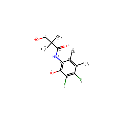 Cc1c(Br)c(F)c(O)c(NC(=O)C(C)(C)CO)c1C#N